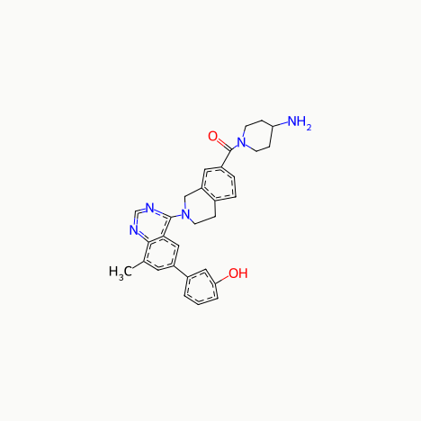 Cc1cc(-c2cccc(O)c2)cc2c(N3CCc4ccc(C(=O)N5CCC(N)CC5)cc4C3)ncnc12